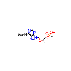 CNc1ncnc2c1ncn2CO[C@@H](C)COP(C)(=O)O